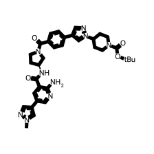 Cn1cc(-c2cnc(N)c(C(=O)N[C@@H]3CCN(C(=O)c4ccc(-c5cnn(C6CCN(C(=O)OC(C)(C)C)CC6)c5)cc4)C3)c2)cn1